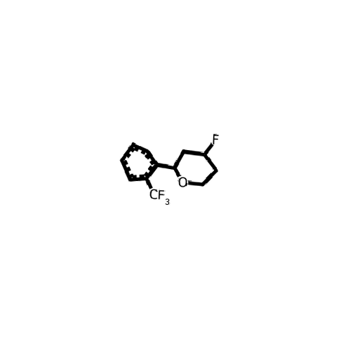 FC1CCOC(c2ccccc2C(F)(F)F)C1